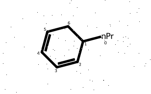 CCCC1C=CC=CC1